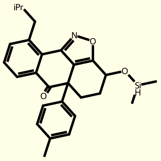 Cc1ccc(C23CCC(O[SiH](C)C)c4onc(c42)-c2c(CC(C)C)cccc2C3=O)cc1